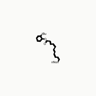 CCCCCCCCC\C=C/C=C\C=C\C=C/C=C/C(=O)Oc1ccccc1C(C)(C)C